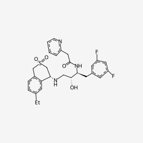 CCc1ccc2c(c1)[C@@H](NC[C@@H](O)[C@H](Cc1cc(F)cc(F)c1)NC(=O)Cc1ccccn1)CS(=O)(=O)C2